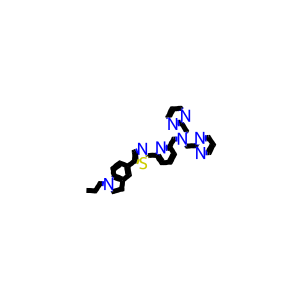 CCCN1CCc2cc(-c3cnc(-c4cccc(CN(Cc5ncccn5)Cc5ncccn5)n4)s3)ccc21